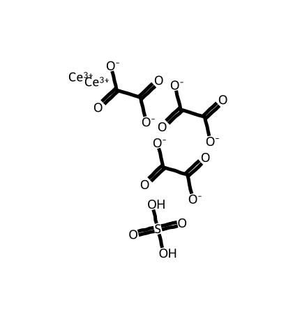 O=C([O-])C(=O)[O-].O=C([O-])C(=O)[O-].O=C([O-])C(=O)[O-].O=S(=O)(O)O.[Ce+3].[Ce+3]